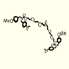 COc1ccc(CN(Cc2ccc(N(C)C)cc2)C(=O)OCCOCCOCCN(C)CCOCCOCCOC(=O)N(Cc2ccc(OC)cc2)Cc2ccc(N(C)C)cc2)cc1